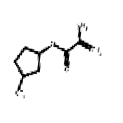 C=C(C)C(=O)OC1CCC(C(F)(F)F)C1